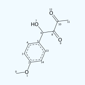 COc1ccc(C(O)C(=O)C(C)=O)cc1